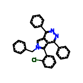 Clc1ccccc1-c1c2c(-c3ccccc3)nnc(-c3ccccc3)c2cn1Cc1ccccc1